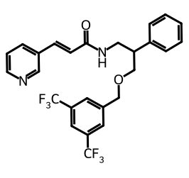 O=C(/C=C/c1cccnc1)NCC(COCc1cc(C(F)(F)F)cc(C(F)(F)F)c1)c1ccccc1